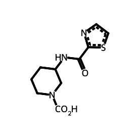 O=C(NC1CCCN(C(=O)O)C1)c1nccs1